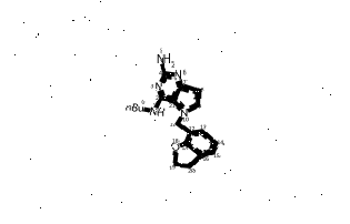 CCCCNc1nc(N)nc2ccn(Cc3cccc4c3OCC4)c12